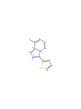 Cc1ccnn2c(-c3cccs3)nnc12